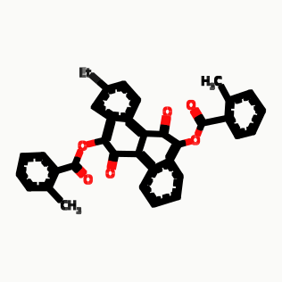 CCc1ccc2c(c1)=C(OC(=O)c1ccccc1C)C(=O)C1=c3ccccc3=C(OC(=O)c3ccccc3C)C(=O)C=21